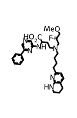 COC[C@@H](F)CN(CCCCc1ccc2c(n1)NCCC2)CCC(Nc1cncc(-c2ccccc2)n1)C(=O)O